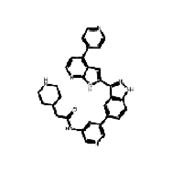 O=C(CC1CCNCC1)Nc1cncc(-c2ccc3[nH]nc(-c4cc5c(-c6ccncc6)ccnc5[nH]4)c3c2)c1